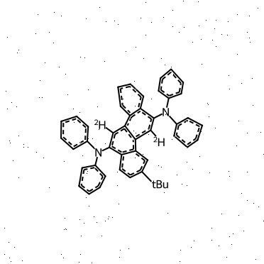 [2H]c1c(N(c2ccccc2)c2ccccc2)c2ccc(C(C)(C)C)cc2c2c([2H])c(N(c3ccccc3)c3ccccc3)c3ccccc3c12